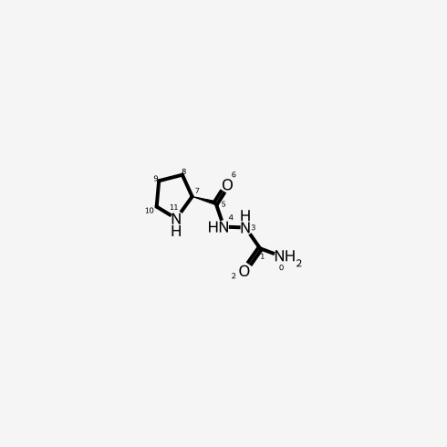 NC(=O)NNC(=O)[C@@H]1CCCN1